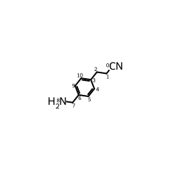 N#CCCc1ccc(CN)cc1